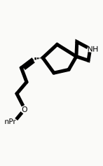 CCCOCC/C=C\[C@H]1CCC2(CNC2)C1